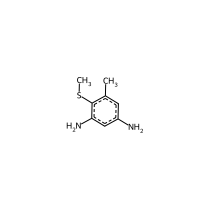 CSc1c(C)cc(N)cc1N